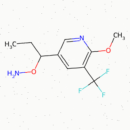 CCC(ON)c1cnc(OC)c(C(F)(F)F)c1